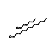 CCC/C=C/C=O.CCCCCCCCC/C=C/C=O